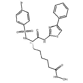 O=C(CCCCC[C@H](NS(=O)(=O)c1ccc(Br)cc1)C(=O)Nc1nc(-c2ccccc2)cs1)NO